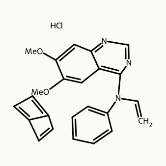 C=CN(c1ccccc1)c1ncnc2cc(OC)c(OC)cc12.Cl.c1cc2ccc1-2